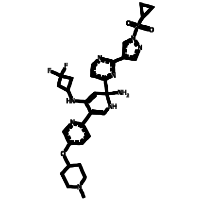 CN1CCC(Oc2ccc(C3=CNC(N)(c4ccnc(-c5cnn(S(=O)(=O)C6CC6)c5)n4)C=C3NC3CC(F)(F)C3)nc2)CC1